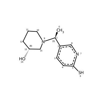 C[C@@H](c1ccc(S)nc1)N1CCC[C@@H](O)C1